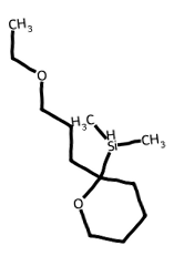 CCOCCCC1([SiH](C)C)CCCCO1